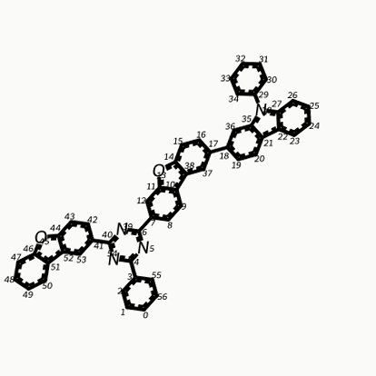 c1ccc(-c2nc(-c3ccc4c(c3)oc3ccc(-c5ccc6c7ccccc7n(-c7ccccc7)c6c5)cc34)nc(-c3ccc4oc5ccccc5c4c3)n2)cc1